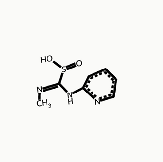 C/N=C(\Nc1ccccn1)S(=O)O